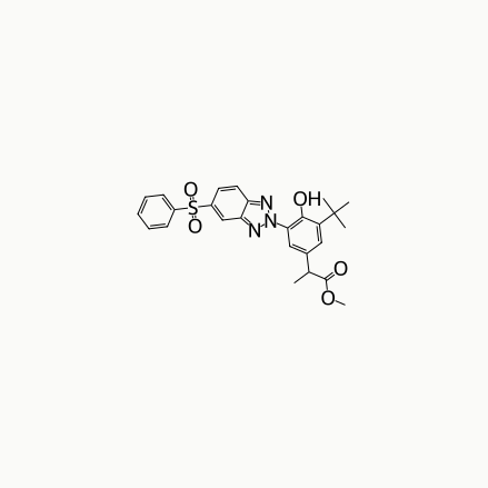 COC(=O)C(C)c1cc(-n2nc3ccc(S(=O)(=O)c4ccccc4)cc3n2)c(O)c(C(C)(C)C)c1